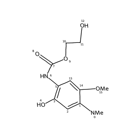 CNc1cc(O)c(NC(=O)OCCO)cc1OC